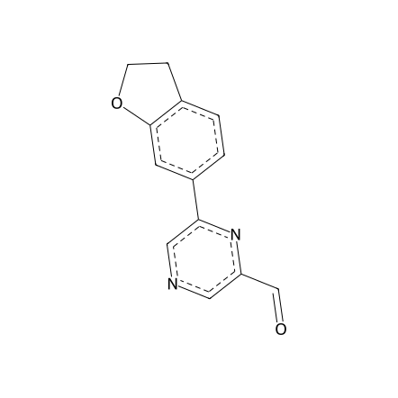 O=Cc1cncc(-c2ccc3c(c2)OCC3)n1